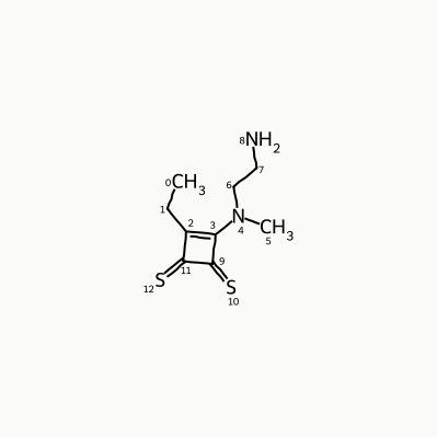 CCc1c(N(C)CCN)c(=S)c1=S